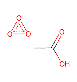 CC(=O)O.o1oo1